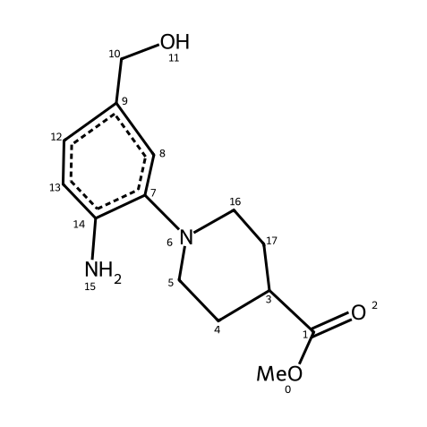 COC(=O)C1CCN(c2cc(CO)ccc2N)CC1